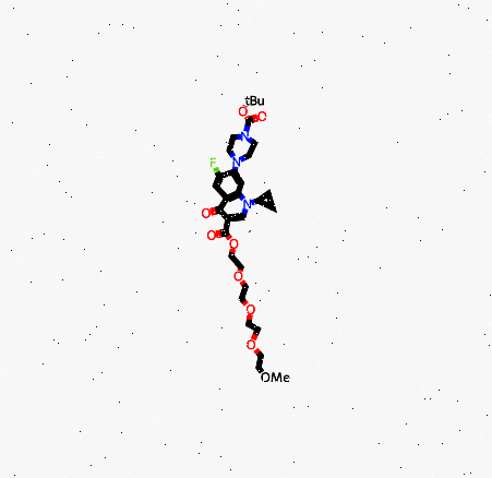 COCCOCCOCCOCCOC(=O)c1cn(C2CC2)c2cc(N3CCN(C(=O)OC(C)(C)C)CC3)c(F)cc2c1=O